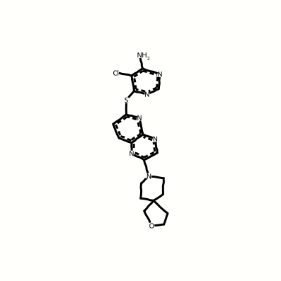 Nc1ncnc(Sc2ccc3nc(N4CCC5(CCOC5)CC4)cnc3n2)c1Cl